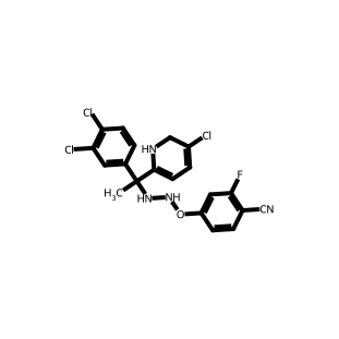 CC(NNOc1ccc(C#N)c(F)c1)(C1=CC=C(Cl)CN1)c1ccc(Cl)c(Cl)c1